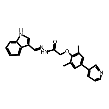 Cc1cc(-c2cccnc2)cc(C)c1OCC(=O)N/N=C/c1c[nH]c2ccccc12